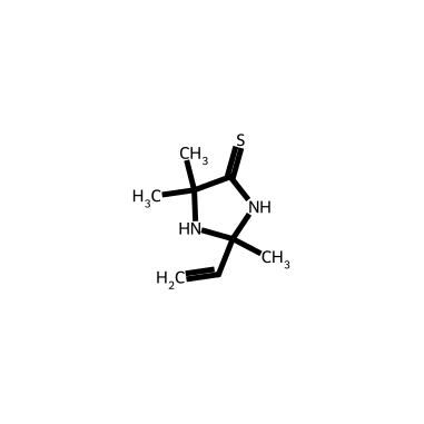 C=CC1(C)NC(=S)C(C)(C)N1